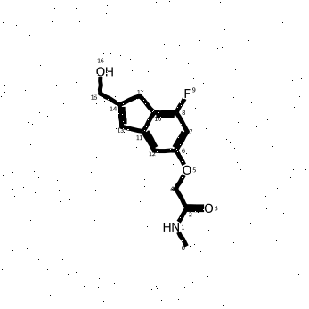 CNC(=O)COc1cc(F)c2c(c1)C=C(CO)C2